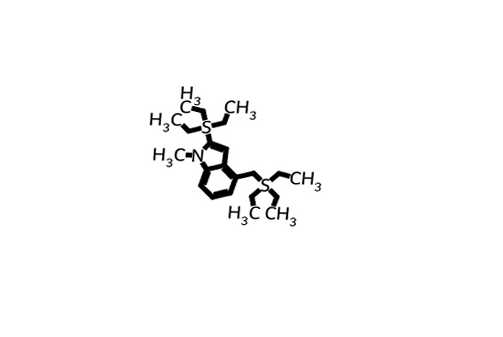 CCS(CC)(CC)Cc1cccc2c1cc(S(CC)(CC)CC)n2C